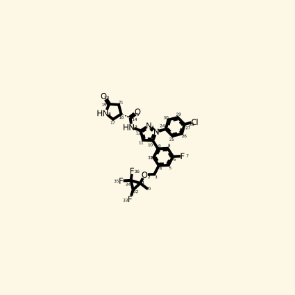 CC1(OCc2cc(F)cc(-c3cc(NC(=O)[C@@H]4CNC(=O)C4)nn3-c3ccc(Cl)cc3)c2)C(F)C1(F)F